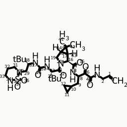 C=CCNC(=O)C(=O)C(CC1CC1)NC(=O)[C@@H]1[C@@H]2[C@H](CN1C(=O)[C@@H](NC(=O)N[C@H](CN1CCCNS1(=O)=O)C(C)(C)C)C(C)(C)C)C2(C)C